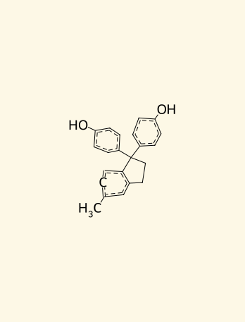 Cc1ccc2c(c1)CCC2(c1ccc(O)cc1)c1ccc(O)cc1